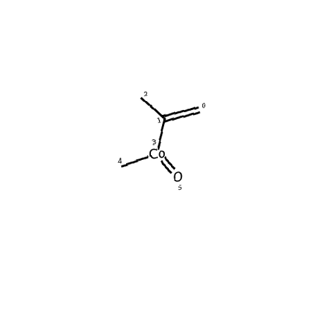 C=[C](C)[Co]([CH3])=[O]